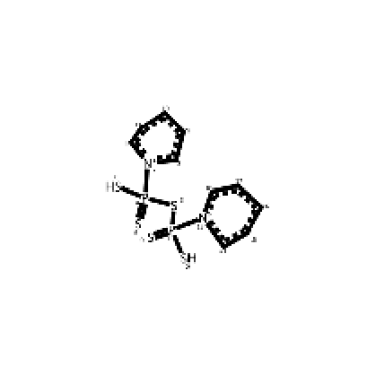 S=P(S)(SP(=S)(S)[n+]1ccccc1)[n+]1ccccc1